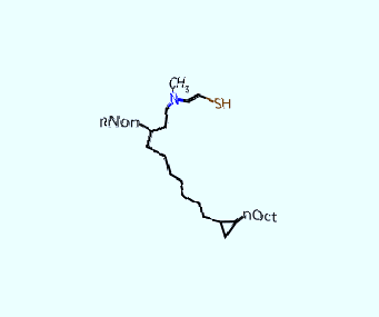 CCCCCCCCCC(CCCCCCCC1CC1CCCCCCCC)CCN(C)CCS